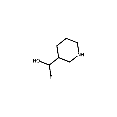 OC(F)C1CCCNC1